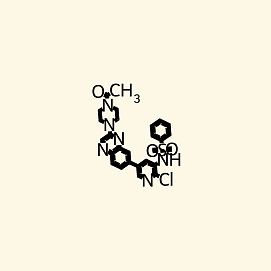 CC(=O)N1CCN(c2cnc3ccc(-c4cnc(Cl)c(NS(=O)(=O)c5ccccc5)c4)cc3n2)CC1